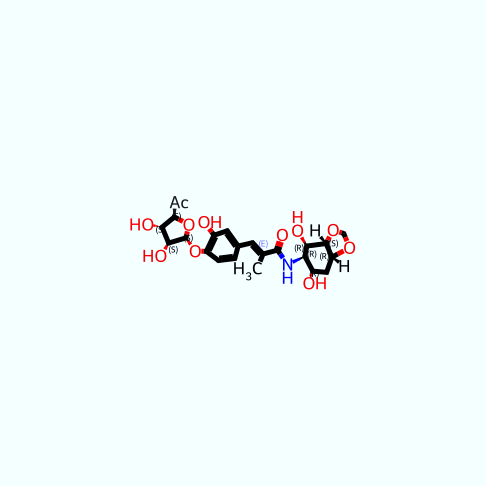 CC(=O)[C@H]1O[C@@H](Oc2ccc(/C=C(\C)C(=O)N[C@H]3[C@@H](O)[C@@H]4OCO[C@@H]4C[C@H]3O)cc2O)[C@@H](O)[C@@H]1O